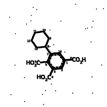 O=C(O)c1cc(C(=O)O)c(C(=O)O)c(C2CCCCC2)c1